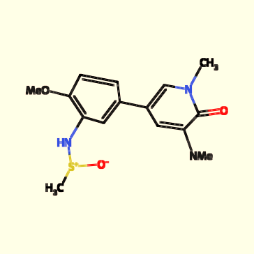 CNc1cc(-c2ccc(OC)c(N[S+](C)[O-])c2)cn(C)c1=O